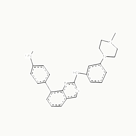 CNc1ccc(-c2cccc3cnc(Nc4cccc(N5CCN(C)CC5)c4)nc23)cc1